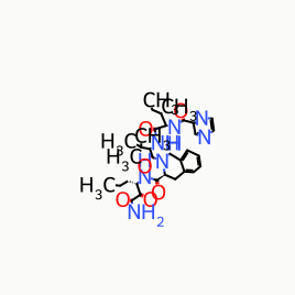 CCC[C@H](NC(=O)[C@@H]1Cc2ccccc2CN1C(=O)[C@@H](NC(=O)[C@@H](NC(=O)c1cnccn1)[C@@H](C)CC)C(C)(C)C)C(=O)C(N)=O